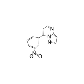 O=[N+]([O-])c1cccc(-c2ccnc3ccnn23)c1